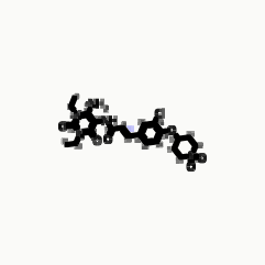 CCn1c(N)c(NC(=O)/C=C/c2ccc(OC3CCS(=O)(=O)CC3)c(Cl)c2)c(=O)n(CC)c1=O